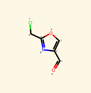 O=Cc1coc(CCl)n1